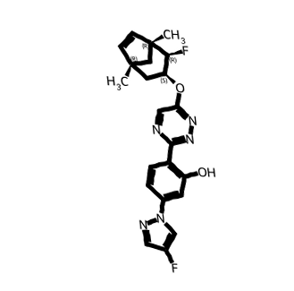 C[C@@]12C=C[C@@](C)(C1)[C@@H](F)[C@@H](Oc1cnc(-c3ccc(-n4cc(F)cn4)cc3O)nn1)C2